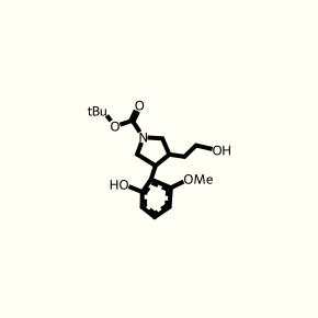 COc1cccc(O)c1C1CN(C(=O)OC(C)(C)C)CC1CCO